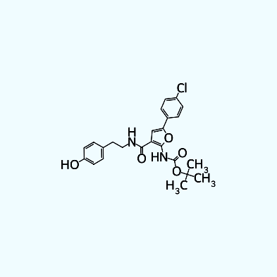 CC(C)(C)OC(=O)Nc1oc(-c2ccc(Cl)cc2)cc1C(=O)NCCc1ccc(O)cc1